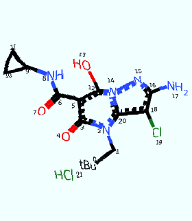 CC(C)(C)Cn1c(=O)c(C(=O)NC2CC2)c(O)n2nc(N)c(Cl)c12.Cl